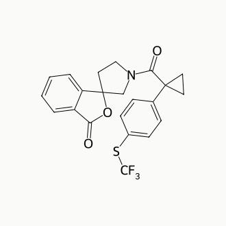 O=C1OC2(CCN(C(=O)C3(c4ccc(SC(F)(F)F)cc4)CC3)C2)c2ccccc21